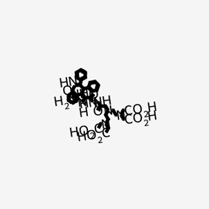 NNC(=O)c1[nH]c2ccccc2c1C(c1ccccc1)c1c(C(=O)NNC(=O)CN(CCN(CC(=O)O)CC(=O)O)CCN(CC(=O)O)CC(=O)O)[nH]c2ccccc12